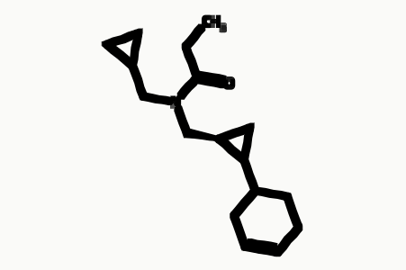 CCC(=O)N(CC1CC1)C[C@H]1CC1C1CC=CCC1